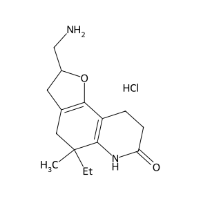 CCC1(C)CC2=C(OC(CN)C2)C2=C1NC(=O)CC2.Cl